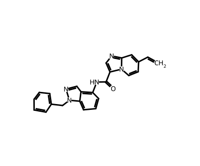 C=Cc1ccn2c(C(=O)Nc3cccc4c3cnn4Cc3ccccc3)cnc2c1